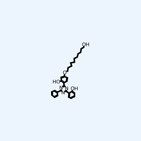 OCCCCCCCCCCCOc1ccc(-c2nc(-c3ccccc3)nc(-c3ccccc3O)n2)c(O)c1